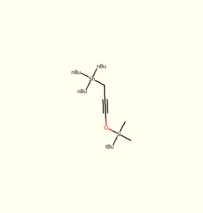 CCC[CH2][Sn]([CH2]C#CO[Si](C)(C)C(C)(C)C)([CH2]CCC)[CH2]CCC